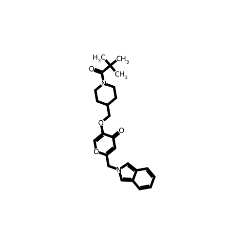 CC(C)(C)C(=O)N1CCC(COc2coc(Cn3cc4ccccc4c3)cc2=O)CC1